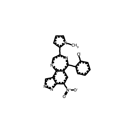 Cn1cccc1-c1cnc2c(cc([N+](=O)[O-])c3nncc32)c(-c2ccccc2Cl)n1